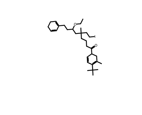 CCOC(CCC1=CCCC=C1)CC(C)(CCI)CCCC(=O)C1C=CC(C(C)(C)C)=C(C)C1